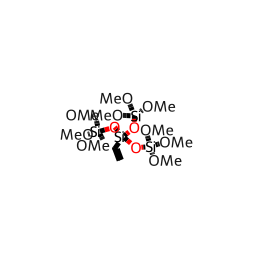 C=C[Si](O[Si](OC)(OC)OC)(O[Si](OC)(OC)OC)O[Si](OC)(OC)OC